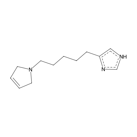 C1=CCN(CCCCCc2c[nH]cn2)C1